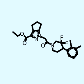 CCOC(=O)c1nn(CC(=O)N2CCC(c3cccc(C)c3C)C(F)(F)C2)c2c1CCC2